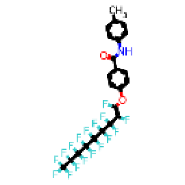 Cc1ccc(NC(=O)c2ccc(OC(F)=C(F)C(F)(F)C(F)(F)C(F)(F)C(F)(F)C(F)(F)C(F)(F)C(F)(F)F)cc2)cc1